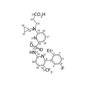 CCc1ccc(F)cc1-c1nc(NS(=O)(=O)c2cccc(N(CCC(=O)O)C3CC3)n2)ccc1C(F)(F)F